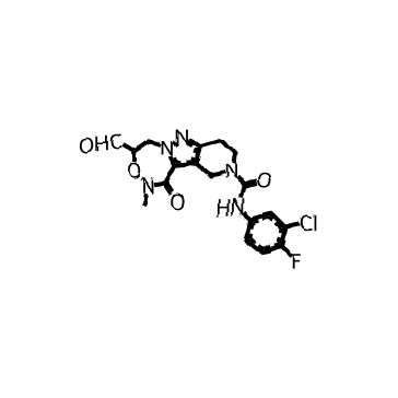 CN1OC(C=O)Cn2nc3c(c2C1=O)CN(C(=O)Nc1ccc(F)c(Cl)c1)CC3